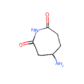 NC1CCC(=O)NC(=O)C1